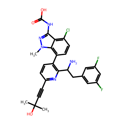 Cn1nc(NC(=O)O)c2c(Cl)ccc(-c3ccc(C#CC(C)(C)O)nc3C(N)Cc3cc(F)cc(F)c3)c21